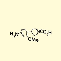 COc1cc(N)ccc1C1CCN(C(=O)O)CC1